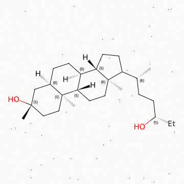 CC[C@H](O)CC[C@@H](C)C1CC[C@H]2[C@@H]3CC[C@@H]4C[C@@](C)(O)CC[C@]4(C)[C@H]3CC[C@]12C